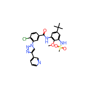 COc1c(NC(=O)c2ccc(Cl)c(-n3cc(-c4cccnc4)nn3)c2)cc(C(C)(C)C)cc1NS(C)(=O)=O